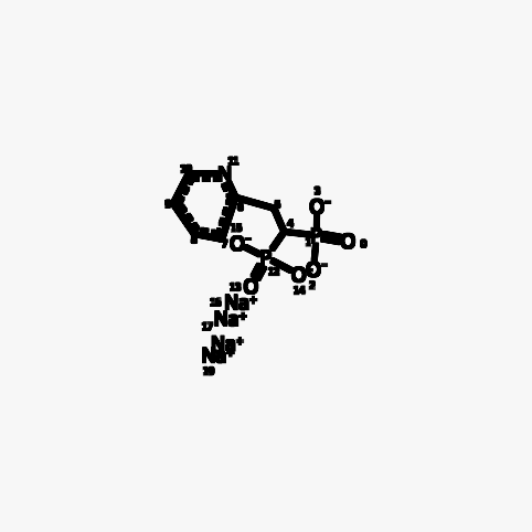 O=P([O-])([O-])C(Cc1ccccn1)P(=O)([O-])[O-].[Na+].[Na+].[Na+].[Na+]